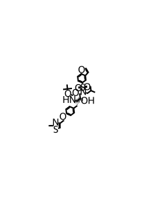 Cc1nc(COc2ccc(C[C@H](NC(=O)OC(C)(C)C)[C@H](O)CN(CC(C)C)S(=O)(=O)c3ccc4occc4c3)cc2)cs1